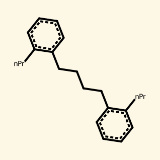 CCCc1ccccc1CCCCc1ccccc1CCC